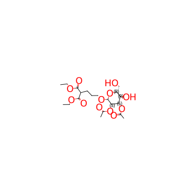 CCOC(=O)C(CCCOC1O[C@H](CO)[C@@H](O)[C@H](OC(C)=O)[C@@H]1OC(C)=O)C(=O)OCC